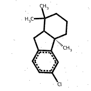 CC1(C)CCC[C@@]2(C)c3cc(Cl)ccc3CC12